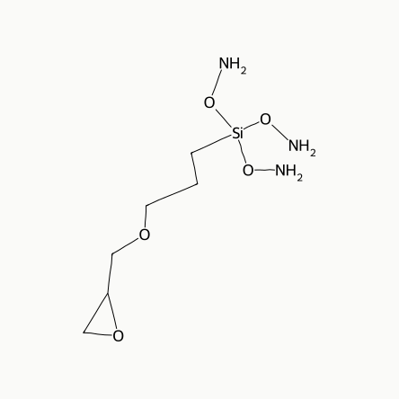 NO[Si](CCCOCC1CO1)(ON)ON